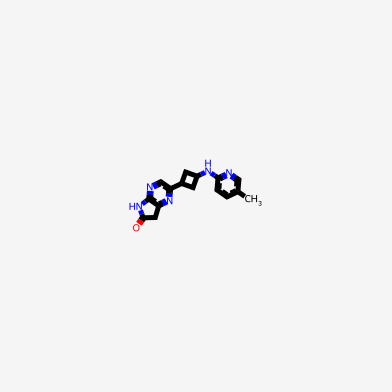 Cc1ccc(NC2CC(c3cnc4c(n3)CC(=O)N4)C2)nc1